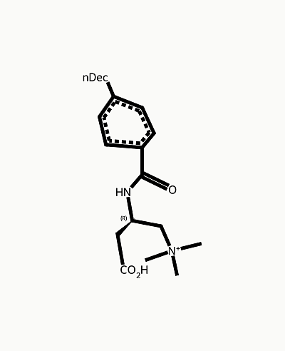 CCCCCCCCCCc1ccc(C(=O)N[C@H](CC(=O)O)C[N+](C)(C)C)cc1